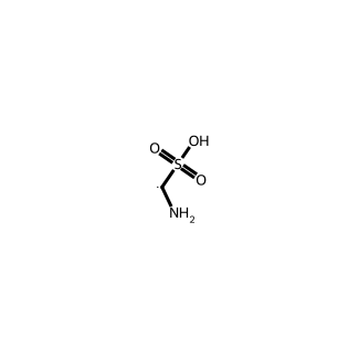 N[CH]S(=O)(=O)O